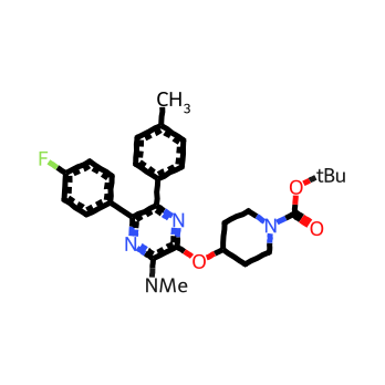 CNc1nc(-c2ccc(F)cc2)c(-c2ccc(C)cc2)nc1OC1CCN(C(=O)OC(C)(C)C)CC1